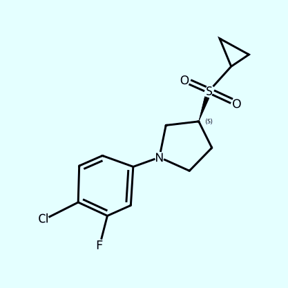 O=S(=O)(C1CC1)[C@H]1CCN(c2ccc(Cl)c(F)c2)C1